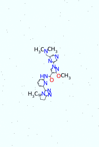 COc1nn(-c2cncc(CN(C)C)n2)cc1C(=O)Nc1cccc(-c2nnc3n2[C@@H](C)CC3)n1